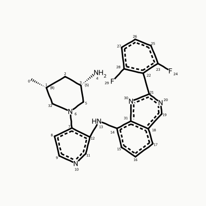 C[C@@H]1C[C@H](N)CN(c2ccncc2Nc2cccc3cnc(-c4c(F)cccc4F)nc23)C1